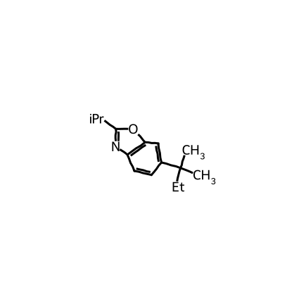 CCC(C)(C)c1ccc2nc(C(C)C)oc2c1